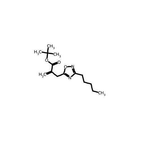 C=C(Cc1nc(CCCCC)no1)C(=O)OC(C)(C)C